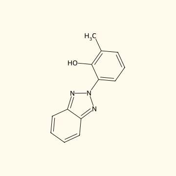 Cc1cccc(-n2nc3ccccc3n2)c1O